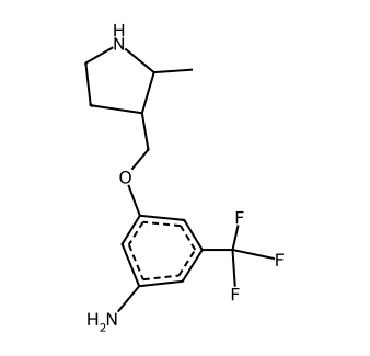 CC1NCCC1COc1cc(N)cc(C(F)(F)F)c1